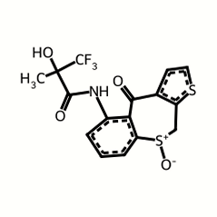 CC(O)(C(=O)Nc1cccc2c1C(=O)c1ccsc1C[S+]2[O-])C(F)(F)F